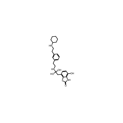 O=c1[nH]c2c(O)ccc(CC(O)(O)NCCc3cccc(CCNC4CCCCC4)c3)c2s1